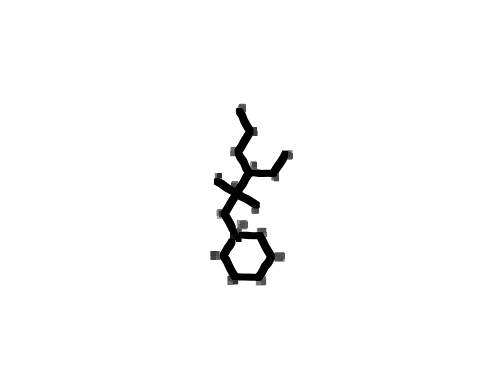 CCCC(CC)C(C)(C)CN1CCCCC1